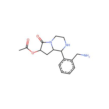 CC(=O)OC1CC2C(c3ccccc3CN)NCCN2C1=O